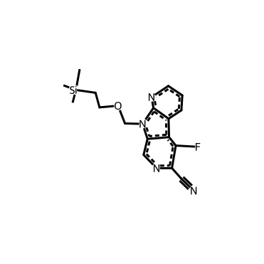 C[Si](C)(C)CCOCn1c2cnc(C#N)c(F)c2c2cccnc21